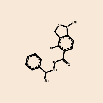 CC(C)(C)C(NNC(=O)c1ccc2c(c1F)COB2O)c1ccccc1